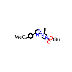 C#CC1CN(C(=O)OC(C)(C)C)CCN1c1nccc(-c2ccc(COC)cc2)n1